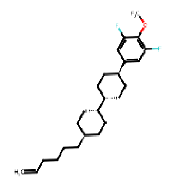 C=CCCCC[C@H]1CC[C@H]([C@H]2CC[C@H](c3cc(F)c(OC(F)(F)F)c(F)c3)CC2)CC1